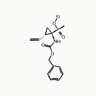 C=C[C@@H]1C[C@]1(NC(=O)OCc1ccccc1)P(C)(=O)OCC